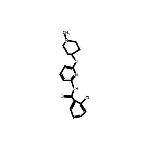 CN1CCC(Oc2cccc(NC(=O)c3ccccc3Cl)n2)CC1